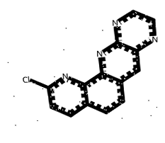 Clc1ccc2ccc3cc4nccnc4nc3c2n1